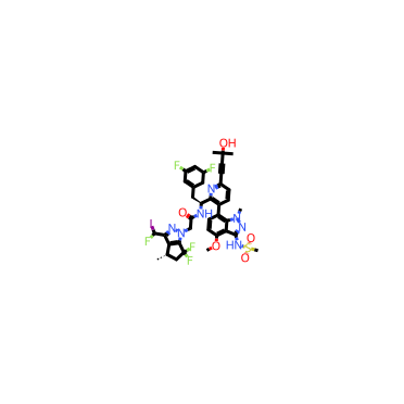 COc1ccc(-c2ccc(C#CC(C)(C)O)nc2[C@H](CC2=CC(F)=CC(F)C2)NC(=O)Cn2nc(C(F)I)c3c2C(F)(F)C[C@@H]3C)c2c1c(NS(C)(=O)=O)nn2C